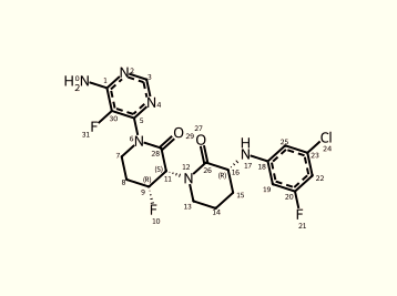 Nc1ncnc(N2CC[C@@H](F)[C@@H](N3CCC[C@@H](Nc4cc(F)cc(Cl)c4)C3=O)C2=O)c1F